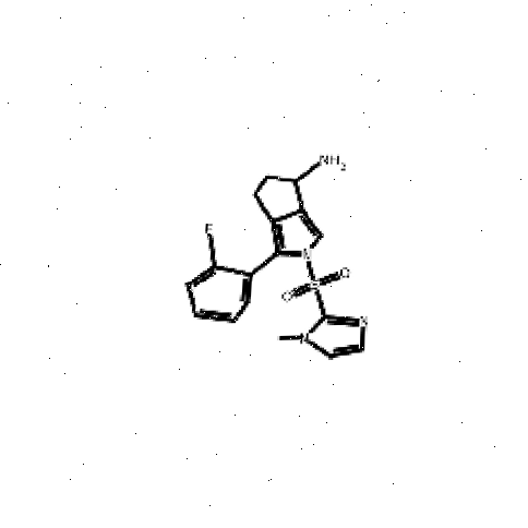 Cn1ccnc1S(=O)(=O)n1cc2c(c1-c1ccccc1F)CCC2N